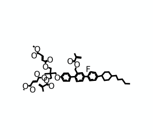 C=C(C)C(=O)OCc1cc(-c2ccc(C3CCC(CCCCC)CC3)cc2F)ccc1-c1ccc(OCC(COC(=O)/C=C/C(=O)OC)(COC(=O)/C=C/C(=O)OC)COC(=O)C(=C)C)cc1